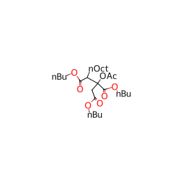 CCCCCCCCC(C(=O)OCCCC)C(CC(=O)OCCCC)(OC(C)=O)C(=O)OCCCC